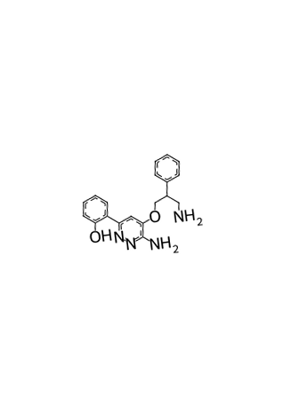 NCC(COc1cc(-c2ccccc2O)nnc1N)c1ccccc1